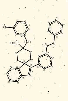 O=C(O)C1(Nc2cccc(Cl)c2)CCC2(CC1)C(c1cccc(OCc3ccncc3)c1)=Cc1ccccc12